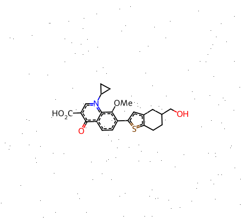 COc1c(-c2cc3c(s2)CCC(CO)C3)ccc2c(=O)c(C(=O)O)cn(C3CC3)c12